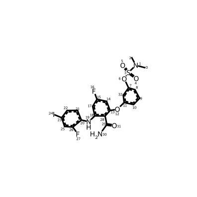 CN(C)S(=O)(=O)Oc1cccc(Oc2cc(F)cc(Nc3ccc(I)cc3F)c2C(N)=O)c1